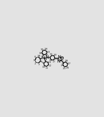 C1=CCC=CC(N2B(c3ccccc3)N(c3ccc(-c4noc(-c5ccccc5)n4)cc3)c3ccccc32)=C1